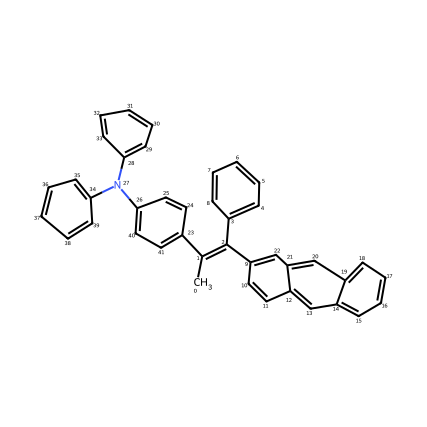 C/C(=C(/c1ccccc1)c1ccc2cc3ccccc3cc2c1)c1ccc(N(c2ccccc2)c2ccccc2)cc1